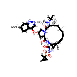 CC[C@@H]1C[C@H](C)CCC=C[C@@H]2C[C@@]2(C(=O)NS(=O)(=O)C2(C)CC2)NC(=O)[C@@H]2C[C@@H](Oc3cnnc4cc(OC)ccc34)CN2C(=O)[C@H]1N(C(=O)O)C(C)(C)C(F)(F)F